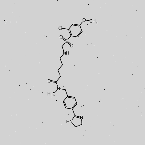 COc1ccc(S(=O)(=O)CNCCCCC(=O)N(C)Cc2ccc(C3=NCCN3)cc2)c(Cl)c1